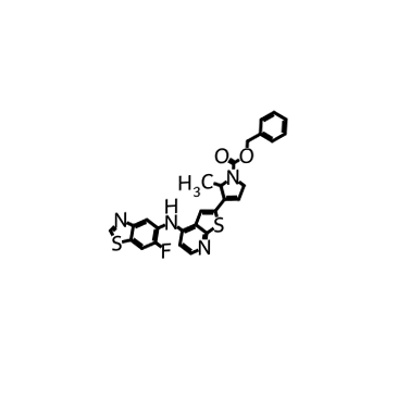 CC1C(c2cc3c(Nc4cc5ncsc5cc4F)ccnc3s2)=CCN1C(=O)OCc1ccccc1